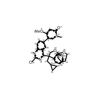 COc1cc(=O)n(C)cc1-c1ccc2nc(Cl)nc(C(COC3CCCCO3)(CC3CC3)c3cccnc3)c2c1